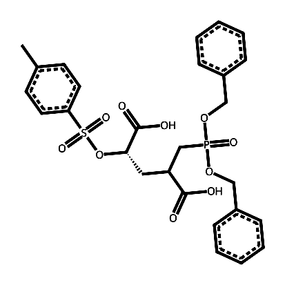 Cc1ccc(S(=O)(=O)O[C@@H](CC(CP(=O)(OCc2ccccc2)OCc2ccccc2)C(=O)O)C(=O)O)cc1